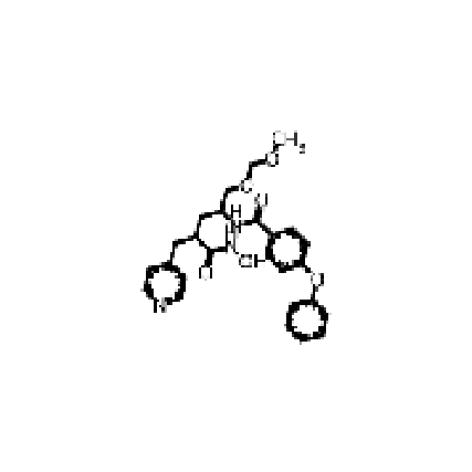 COCOCC(CC(Cc1ccncc1)C(=O)NO)NC(=O)c1ccc(Oc2ccccc2)cc1